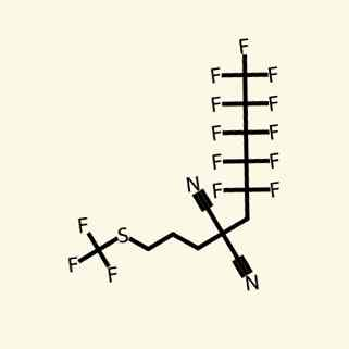 N#CC(C#N)(CCCSC(F)(F)F)CC(F)(F)C(F)(F)C(F)(F)C(F)(F)C(F)(F)F